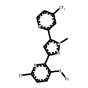 CCSc1ccc(Cl)nc1-c1cc(-c2cc(C(F)(F)F)ccn2)n(C)n1